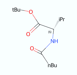 CCCCC(=O)N[C@H](C(=O)OC(C)(C)C)C(C)C